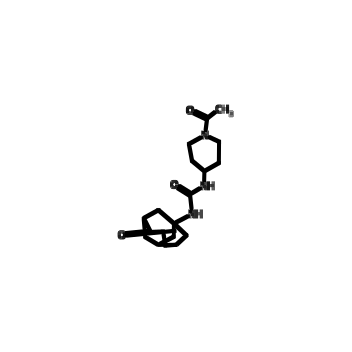 CC(=O)N1CCC(NC(=O)NC23CC4CC(C2)C(CCC4=O)C3)CC1